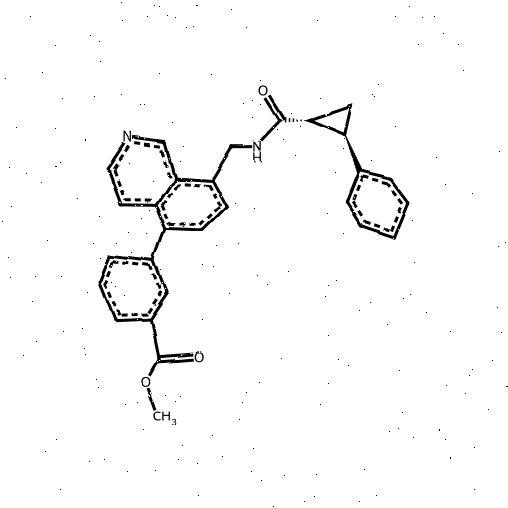 COC(=O)c1cccc(-c2ccc(CNC(=O)[C@@H]3C[C@H]3c3ccccc3)c3cnccc23)c1